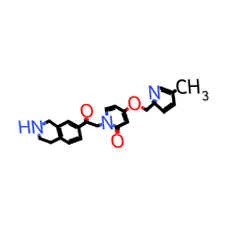 Cc1ccc(COc2ccn(CC(=O)c3ccc4c(c3)CNCC4)c(=O)c2)nc1